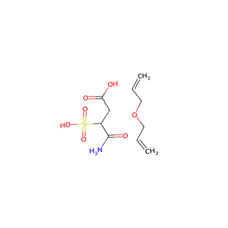 C=CCOCC=C.NC(=O)C(CC(=O)O)S(=O)(=O)O